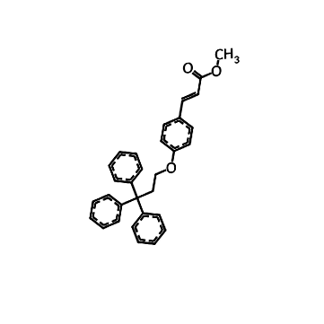 COC(=O)/C=C/c1ccc(OCCC(c2ccccc2)(c2ccccc2)c2ccccc2)cc1